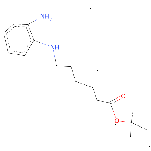 CC(C)(C)OC(=O)CCCCCNc1ccccc1N